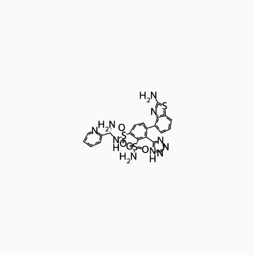 Nc1nc2c(-c3ccc(S(=O)(=O)N[C@@H](N)c4ccccn4)c(S(N)(=O)=O)c3-c3nnn[nH]3)cccc2s1